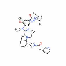 COc1cc(C(=O)N2C[C@H]3CC[C@@H]2C3N)cc2nc(-c3cc4cccc(C5CN(C(=O)Cc6cccnc6)C5)c4n3CC3CC3)n(C)c12